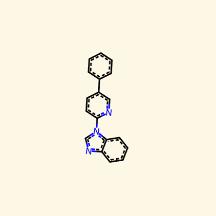 c1ccc(-c2ccc(-n3cnc4ccccc43)nc2)cc1